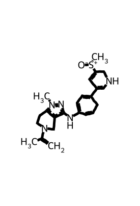 C=C(C)N1CCc2c(c(NC3=CC=C(C4=CNCC([S+](C)[O-])=C4)CC=C3)nn2C)C1